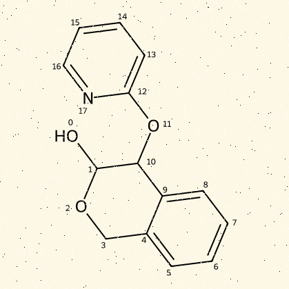 OC1OCc2ccccc2C1Oc1ccccn1